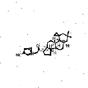 CC1(C)C[C@H]2CC[C@@H]3[C@H](CC[C@]4(C)[C@@H](C(=O)Cn5cc(C#N)cn5)CC[C@@H]34)[C@H]2C2(CC2)C1